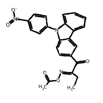 CCC(=NOC(C)=O)C(=O)c1ccc2c(c1)c1ccccc1n2-c1ccc([N+](=O)[O-])cc1